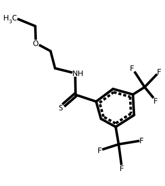 CCOCCNC(=S)c1cc(C(F)(F)F)cc(C(F)(F)F)c1